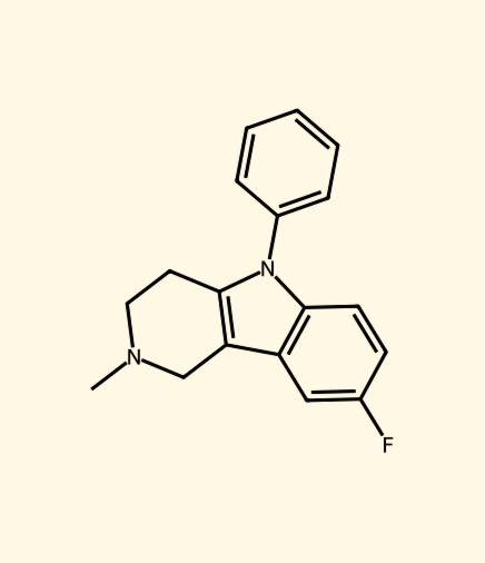 CN1CCc2c(c3cc(F)ccc3n2-c2ccccc2)C1